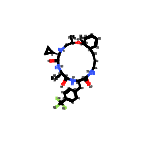 C[C@@H]1CN[C@@H](C2CC2)C(=O)N[C@H](C)C(=O)N[C@H](Cc2ccc(C(F)(F)F)cc2)C(=O)NCCCC2C=CC=CC2(C)O1